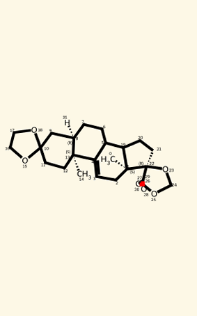 C[C@]12CC=C3C(CC[C@@H]4CC5(CC[C@]34C)OCCO5)C1CC[C@@]21OCOC12COCO2